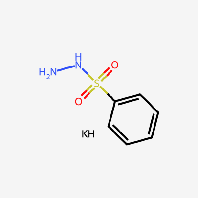 NNS(=O)(=O)c1ccccc1.[KH]